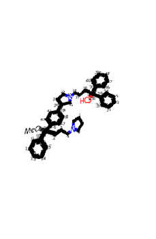 COC(CCCN1CCCC1)(c1ccccc1)c1ccc(C2CCN(CCCC(O)(c3ccccc3)c3ccccc3)C2)cc1